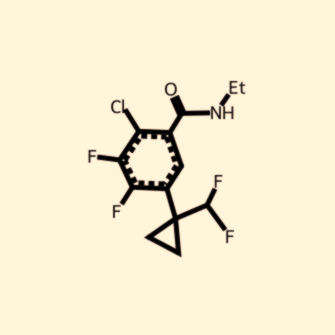 CCNC(=O)c1cc(C2(C(F)F)CC2)c(F)c(F)c1Cl